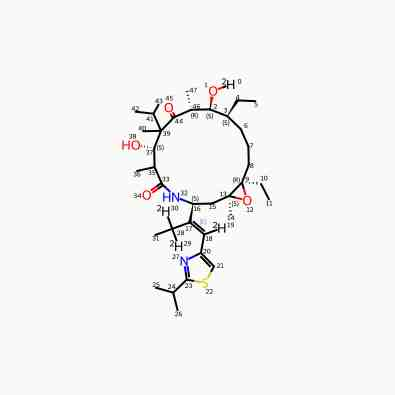 [2H]O[C@H]1[C@@H](CC)CCC[C@@]2(CC)O[C@@]2(C)C[C@@H](/C(=C(\[2H])c2csc(C(C)C)n2)C([2H])([2H])C)NC(=O)C(C)[C@H](O)C(C)(C(C)C)C(=O)[C@@H]1C